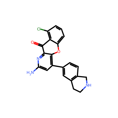 Nc1cc(-c2ccc3c(c2)CCNC3)c2oc3cccc(Cl)c3c(=O)c2n1